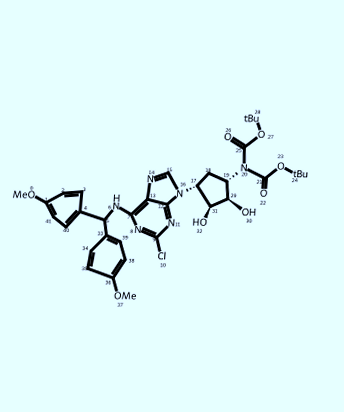 COc1ccc(C(Nc2nc(Cl)nc3c2ncn3[C@@H]2C[C@H](N(C(=O)OC(C)(C)C)C(=O)OC(C)(C)C)[C@@H](O)[C@H]2O)c2ccc(OC)cc2)cc1